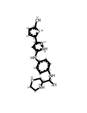 CCC(Nc1ccc(Nc2cc(-c3ccc(C#N)s3)n[nH]2)cc1)C1COCCN1